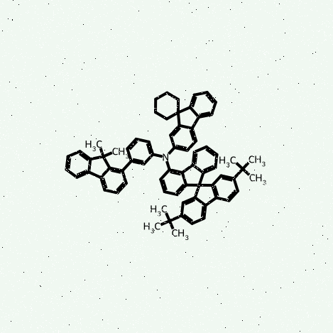 CC(C)(C)c1ccc2c(c1)C1(c3cc(C(C)(C)C)ccc3-2)c2ccccc2-c2c(N(c3cccc(-c4cccc5c4C(C)(C)c4ccccc4-5)c3)c3ccc4c(c3)C3(CCCCC3)c3ccccc3-4)cccc21